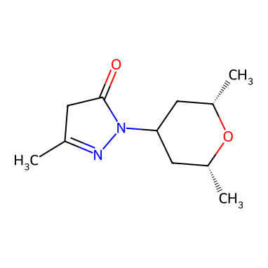 CC1=NN(C2C[C@@H](C)O[C@@H](C)C2)C(=O)C1